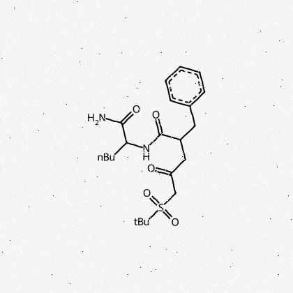 CCCCC(NC(=O)C(CC(=O)CS(=O)(=O)C(C)(C)C)Cc1ccccc1)C(N)=O